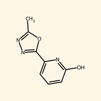 Cc1nnc(-c2cccc(O)n2)o1